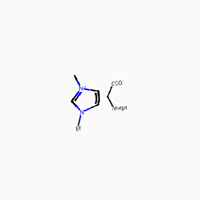 CCCCCCCCC(=O)[O-].CCn1cc[n+](C)c1